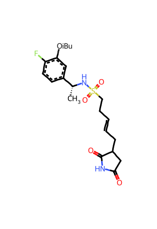 CC(C)COc1cc([C@@H](C)NS(=O)(=O)CC/C=C/CC2CC(=O)NC2=O)ccc1F